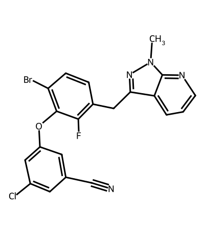 Cn1nc(Cc2ccc(Br)c(Oc3cc(Cl)cc(C#N)c3)c2F)c2cccnc21